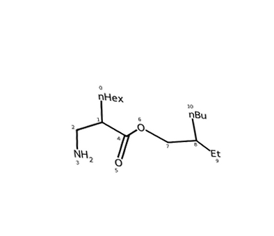 CCCCCCC(CN)C(=O)OCC(CC)CCCC